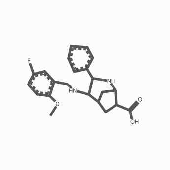 COc1ccc(F)cc1CNC1C2CC(NC1c1ccccc1)C(C(=O)O)C2